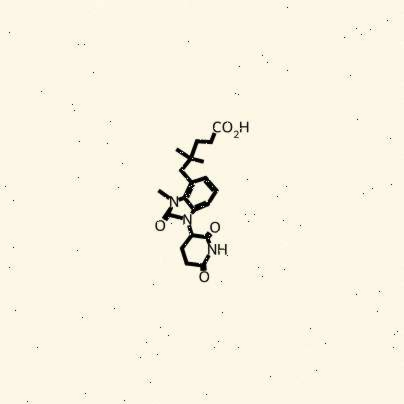 Cn1c(=O)n(C2CCC(=O)NC2=O)c2cccc(CC(C)(C)CCC(=O)O)c21